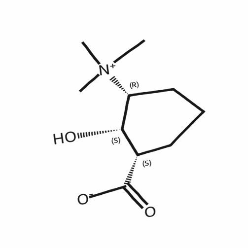 C[N+](C)(C)[C@@H]1CCC[C@H](C(=O)[O-])[C@@H]1O